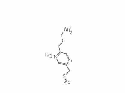 CC(=O)SCc1cnc(CCCN)cn1.Cl